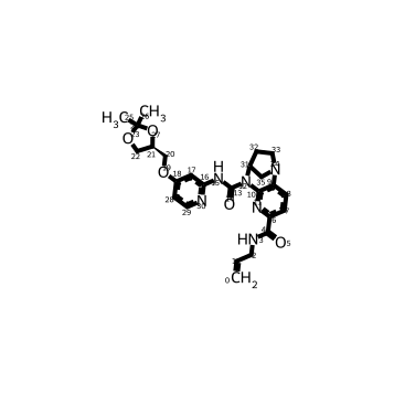 C=CCNC(=O)c1ccc2c(n1)N(C(=O)Nc1cc(OC[C@H]3COC(C)(C)O3)ccn1)C1CCN2C1